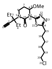 C#CC(CC)(CC)N1CCC(OC)N(c2nnc(CCCCCCCl)s2)C1=O